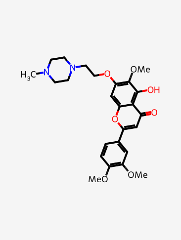 COc1ccc(-c2cc(=O)c3c(O)c(OC)c(OCCN4CCN(C)CC4)cc3o2)cc1OC